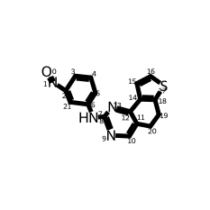 O=Nc1cccc(Nc2ncc3c(n2)-c2ccsc2CC3)c1